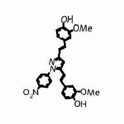 COc1cc(/C=C/c2cc(/C=C/c3ccc(O)c(OC)c3)n(-c3ccc([N+](=O)[O-])cc3)n2)ccc1O